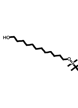 CC(C)(C)[Si](C)(C)OCCCCCCCCCCCCO